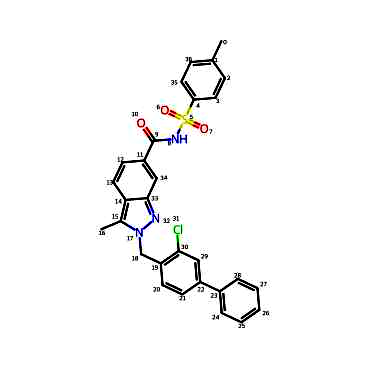 Cc1ccc(S(=O)(=O)NC(=O)c2ccc3c(C)n(Cc4ccc(-c5ccccc5)cc4Cl)nc3c2)cc1